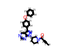 CC#CC(=O)N1CCC[C@H](n2nc(-c3ccc(Oc4ccccc4)cc3)c3cncnc32)C1